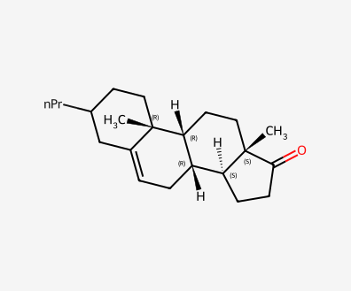 CCCC1CC[C@@]2(C)C(=CC[C@@H]3[C@H]2CC[C@]2(C)C(=O)CC[C@@H]32)C1